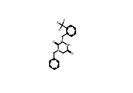 O=C1CN(Cc2ccccc2)C(=O)[C@@H](Cc2ccccc2C(F)(F)F)N1